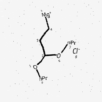 CCCOC(C[CH2][Mg+])OCCC.[Cl-]